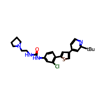 CC(C)(C)c1cc(-c2csc(-c3ccc(NC(=O)NCCN4CCCC4)cc3Cl)c2)ccn1